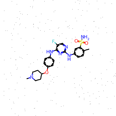 Cc1ccc(Nc2ncc(F)c(Nc3ccc(OC4CCN(C)CC4)cc3)n2)cc1S(N)(=O)=O